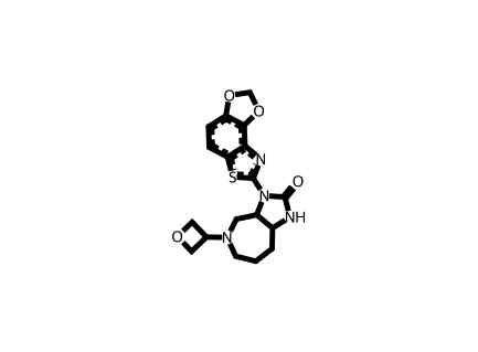 O=C1NC2CCCN(C3COC3)CC2N1c1nc2c3c(ccc2s1)OCO3